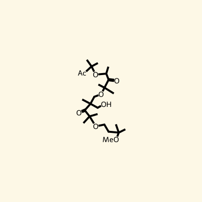 COC(C)(C)CCOC(C)(C)C(=O)C(C)(CO)COC(C)(C)C(=O)C(C)OC(C)(C)C(C)=O